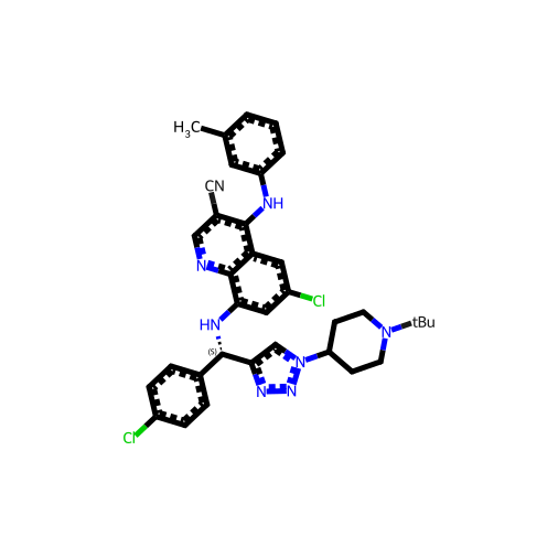 Cc1cccc(Nc2c(C#N)cnc3c(N[C@@H](c4ccc(Cl)cc4)c4cn(C5CCN(C(C)(C)C)CC5)nn4)cc(Cl)cc23)c1